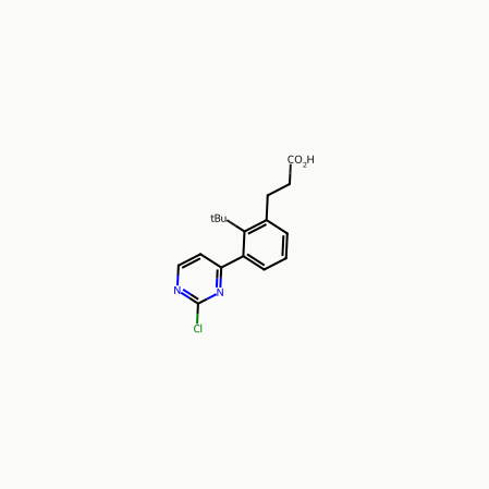 CC(C)(C)c1c(CCC(=O)O)cccc1-c1ccnc(Cl)n1